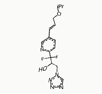 CC(C)OCC=Cc1ccc(C(F)(F)C(O)Cn2cnnn2)nc1